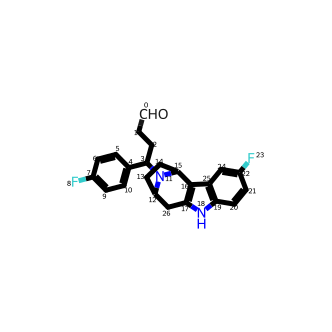 O=CCCC(c1ccc(F)cc1)N1C2CCC1c1c([nH]c3ccc(F)cc13)C2